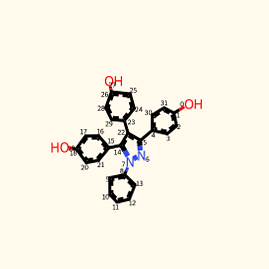 Oc1ccc(-c2nn(-c3ccccc3)c(-c3ccc(O)cc3)c2-c2ccc(O)cc2)cc1